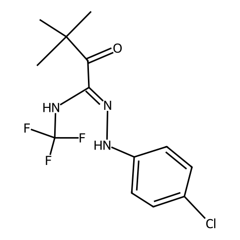 CC(C)(C)C(=O)C(=NNc1ccc(Cl)cc1)NC(F)(F)F